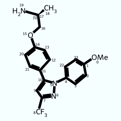 COc1ccc(-n2nc(C(F)(F)F)cc2-c2ccc(OC[C@H](C)N)cc2)cc1